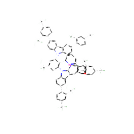 FC(F)(F)c1cc(-n2c3ccc(-c4ccc(C(F)(F)F)cc4C(F)(F)F)cc3c3cc(-c4ccc(C(F)(F)F)cc4C(F)(F)F)ccc32)c(-c2cccc(-c3ccccc3)n2)c(-n2c3ccc(-c4ccc(C(F)(F)F)cc4C(F)(F)F)cc3c3cc(-c4ccc(C(F)(F)F)cc4C(F)(F)F)ccc32)c1